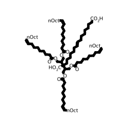 CCCCCCCC/C=C\CCCCCCCC(=O)OCC(COC(=O)CCCCCCC/C=C\CCCCCCCC)C(CCCCCCC=CCCCCCCCC(=O)O)(C(=O)O)C(COC(=O)CCCCCCC/C=C\CCCCCCCC)COC(=O)CCCCCCC/C=C\CCCCCCCC